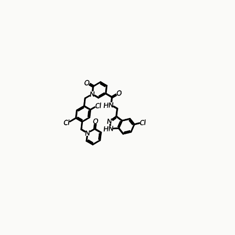 O=C(NCc1n[nH]c2ccc(Cl)cc12)c1ccc(=O)n(Cc2cc(Cl)c(Cn3ccccc3=O)cc2Cl)c1